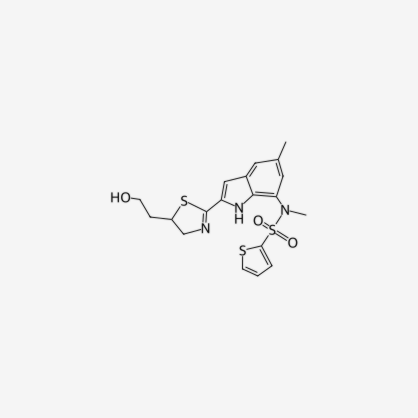 Cc1cc(N(C)S(=O)(=O)c2cccs2)c2[nH]c(C3=NCC(CCO)S3)cc2c1